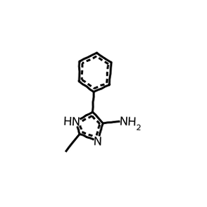 Cc1nc(N)c(-c2ccccc2)[nH]1